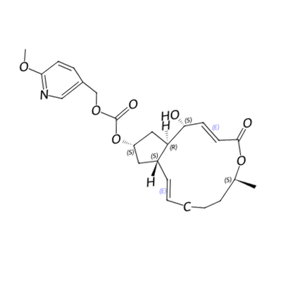 COc1ccc(COC(=O)O[C@@H]2C[C@H]3[C@H](O)/C=C/C(=O)O[C@@H](C)CCC/C=C/[C@@H]3C2)cn1